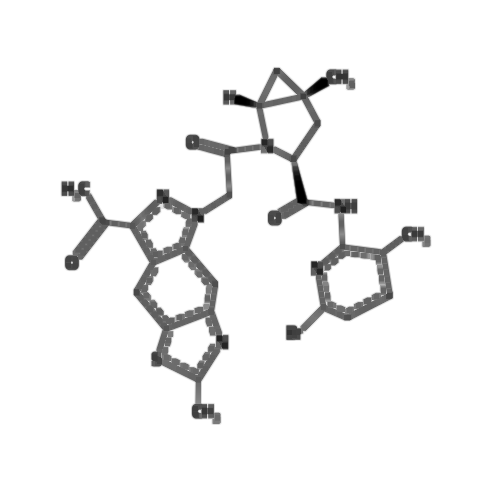 CC(=O)c1nn(CC(=O)N2[C@H](C(=O)Nc3nc(Br)ccc3C)C[C@@]3(C)C[C@@H]23)c2cc3nc(C)sc3cc12